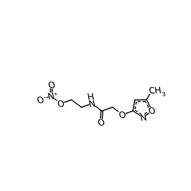 Cc1cc(OCC(=O)NCCO[N+](=O)[O-])no1